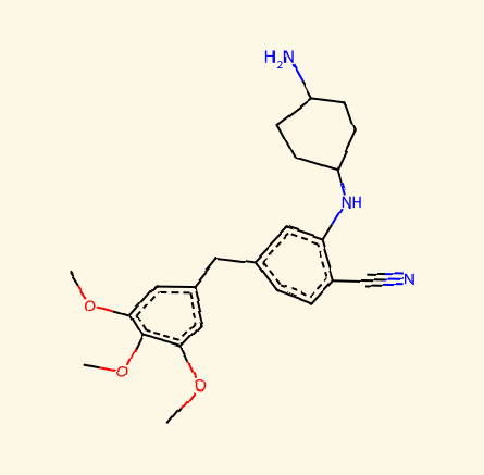 COc1cc(Cc2ccc(C#N)c(NC3CCC(N)CC3)c2)cc(OC)c1OC